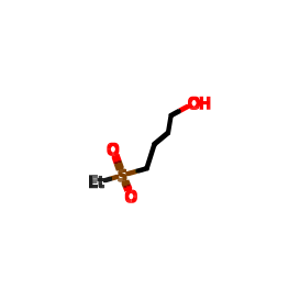 CCS(=O)(=O)CCCCO